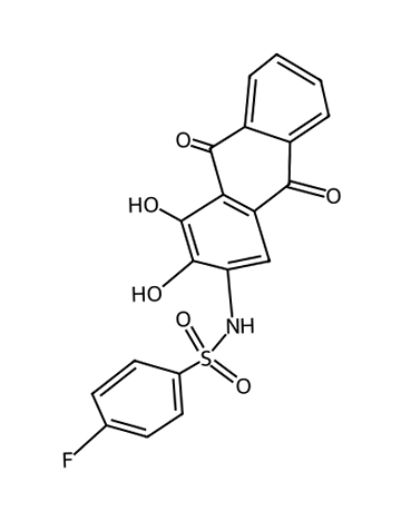 O=C1c2ccccc2C(=O)c2c1cc(NS(=O)(=O)c1ccc(F)cc1)c(O)c2O